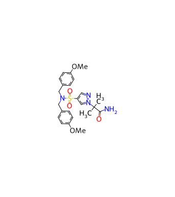 COc1ccc(CN(Cc2ccc(OC)cc2)S(=O)(=O)c2cnn(C(C)(C)C(N)=O)c2)cc1